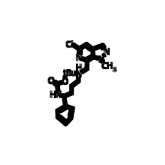 Cn1ncc2cc(Cl)nc(CNCCCC(NC(=O)OC(C)(C)C)c3ccccc3)c21